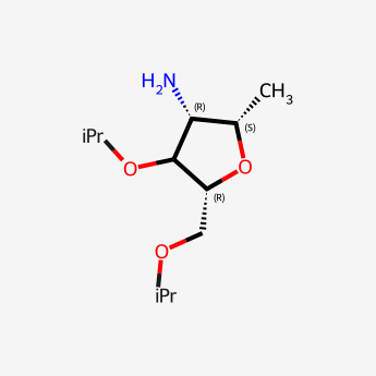 CC(C)OC[C@H]1O[C@@H](C)[C@@H](N)C1OC(C)C